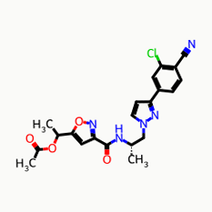 CC(=O)OC(C)c1cc(C(=O)N[C@@H](C)Cn2ccc(-c3ccc(C#N)c(Cl)c3)n2)no1